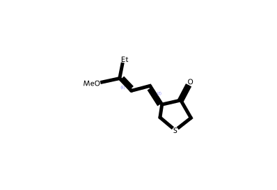 CC/C(=C\C=C1/CSCC1=O)OC